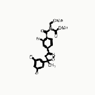 COCN(C(=O)OC)C(=O)c1ccc(C2=NOC(C)(c3cc(Cl)cc(Cl)c3)C2)cc1Br